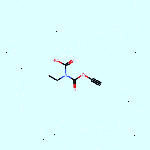 C#COC(=O)N(CC)C(=O)O